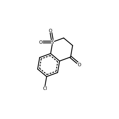 O=C1CCS(=O)(=O)c2ccc(Cl)cc21